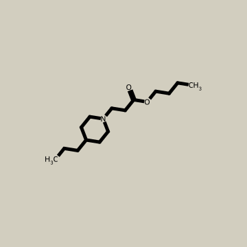 CCCCOC(=O)CCN1CCC(CCC)CC1